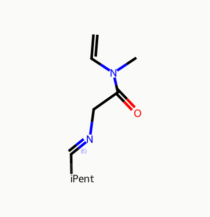 C=CN(C)C(=O)C/N=C/C(C)CCC